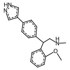 CNCC(c1ccc(-c2cn[nH]c2)cc1)c1ccccc1OC